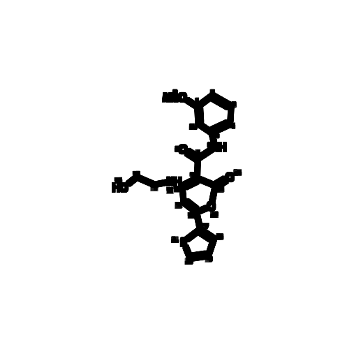 COc1cccc(NC(=O)c2c(NCCO)cc(-c3cccs3)oc2=O)c1